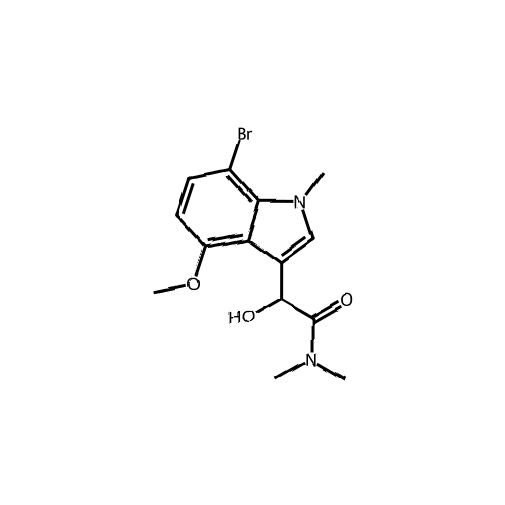 COc1ccc(Br)c2c1c(C(O)C(=O)N(C)C)cn2C